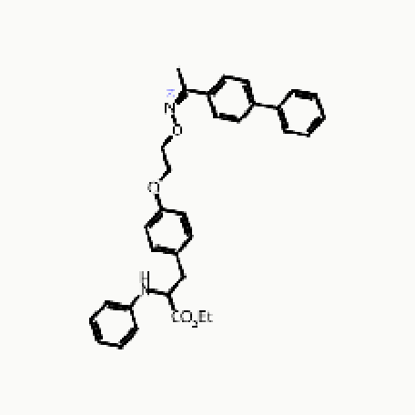 CCOC(=O)C(Cc1ccc(OCCO/N=C(/C)c2ccc(-c3ccccc3)cc2)cc1)Nc1ccccc1